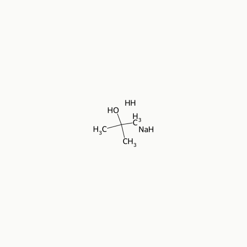 CC(C)(C)O.[HH].[NaH]